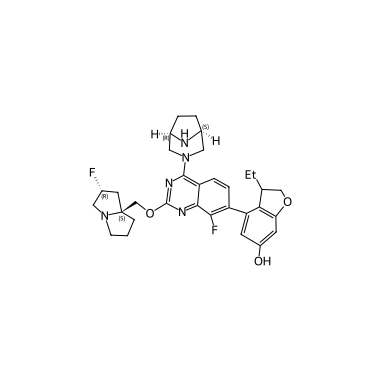 CCC1COc2cc(O)cc(-c3ccc4c(N5C[C@H]6CC[C@@H](C5)N6)nc(OC[C@@]56CCCN5C[C@H](F)C6)nc4c3F)c21